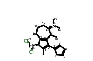 CC1=C(C2=CC=CC2)C2=C(CCCC(=[Si](C)C)C2C)[CH]1[Hf]([Cl])[Cl]